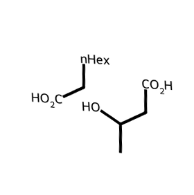 CC(O)CC(=O)O.CCCCCCCC(=O)O